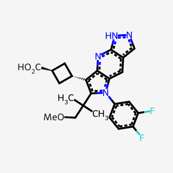 COCC(C)(C)c1c([C@H]2C[C@H](C(=O)O)C2)c2nc3[nH]ncc3cc2n1-c1ccc(F)c(F)c1